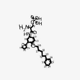 N[C@@H](COP(=O)(O)O)C(=O)Nc1ccc(OCCCCCc2ccccc2)c(-c2ccco2)c1